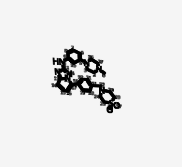 CN1CCN(c2cccc(Nc3nc4cccc(-c5ccc(CN6CCS(=O)(=O)CC6)cc5)n4n3)c2)CC1